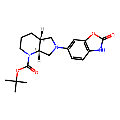 CC(C)(C)OC(=O)N1CCC[C@@H]2CN(c3ccc4[nH]c(=O)oc4c3)C[C@@H]21